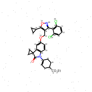 CCOC(=O)C1CC=C(N2C(=O)C3(CC3)c3cc(OCc4c(-c5c(Cl)cccc5Cl)noc4C4CC4)ccc32)CC1